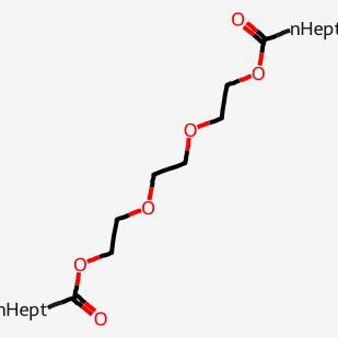 CCCCCCCC(=O)OCCOCCOCCOC(=O)CCCCCCC